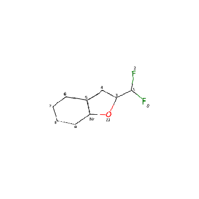 FC(F)C1CC2CCCCC2O1